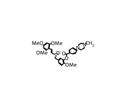 COc1cc(OC)c(/C=C/[S+]([O-])Cc2ccc(OC)c(OC(=O)c3ccc(N4CCN(C)CC4)cc3)c2)c(OC)c1